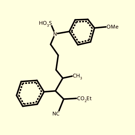 CCOC(=O)C(C#N)C(c1ccccc1)C(C)CCCN(c1ccc(OC)cc1)S(=O)(=O)O